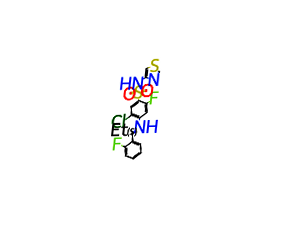 CC[C@H](Nc1cc(F)c(S(=O)(=O)Nc2cscn2)cc1Cl)c1ccccc1F